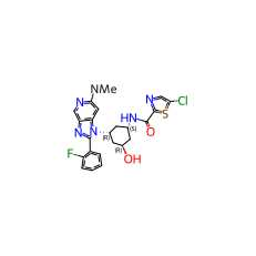 CNc1cc2c(cn1)nc(-c1ccccc1F)n2[C@H]1C[C@H](O)C[C@@H](NC(=O)c2ncc(Cl)s2)C1